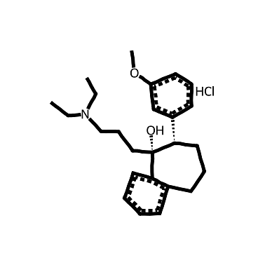 CCN(CC)CCC[C@]1(O)c2ccccc2CCC[C@H]1c1cccc(OC)c1.Cl